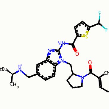 CC(C)C=C(C#N)C(=O)N1CCCC1Cn1c(NC(=O)c2ccc(C(F)F)s2)nc2cc(CN[C@@H](C)C(C)(C)C)ccc21